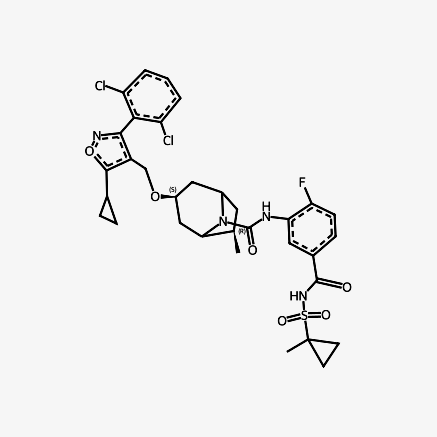 C[C@@H]1CC2C[C@H](OCc3c(-c4c(Cl)cccc4Cl)noc3C3CC3)CC1N2C(=O)Nc1cc(C(=O)NS(=O)(=O)C2(C)CC2)ccc1F